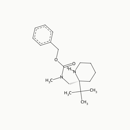 [2H]N1CCCC[C@@]1(CN(C)C(=O)OCc1ccccc1)C(C)(C)C